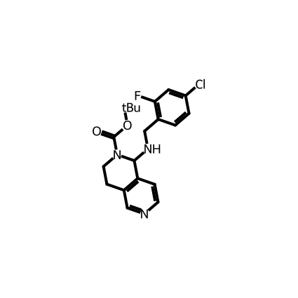 CC(C)(C)OC(=O)N1CCc2cnccc2C1NCc1ccc(Cl)cc1F